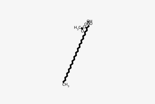 CCCCCCCCCCCCCCCCCCCCCCCCCCCC(CS(=O)(=O)O)OC(C)=O